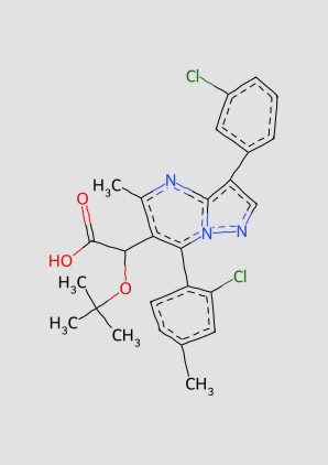 Cc1ccc(-c2c(C(OC(C)(C)C)C(=O)O)c(C)nc3c(-c4cccc(Cl)c4)cnn23)c(Cl)c1